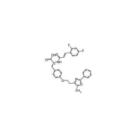 Cc1oc(-c2ccccc2)nc1CCOc1ccc(C[C@H](NC(=O)C=Cc2ccc(F)cc2F)C(=O)O)cc1